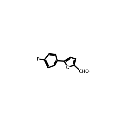 O=[C]c1ccc(-c2ccc(F)cc2)o1